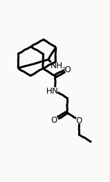 CCOC(=O)CNC(=O)C12CC3CC(C1)C(N)C(C3)C2